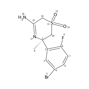 C[C@@]1(c2cc(Br)ccc2F)CS(=O)(=O)CC(N)=N1